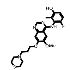 COc1cc2c(Nc3c(F)ccc(O)c3C)ncnc2cc1OCCCN1CCSCC1